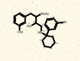 CC(=O)NC(Cc1cccc(O)c1)C(O)CNC1(c2cccc(C(C)C)c2)CCCCC1